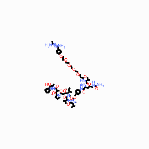 CCC(C)C(C(CC(=O)N1CCCC1C(OC)C(C)C(=O)NC(C)C(O)c1ccccc1)OC)N(C)C(=O)C(NC(=O)C(C(C)C)N(C)C(=O)OCc1ccc(NC(=O)C(CCCNC(N)=O)NC(=O)C(NC(=O)CCOCCOCCOCCOCCOc2ccc(/C(N)=N/N=C(/C)N)cc2)C(C)C)cc1)C(C)C